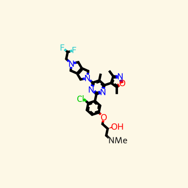 CNC[C@@H](O)COc1ccc(Cl)c(-c2nc(-c3c(C)noc3C)c(C)c(N3CC4=C(CN(CC(F)F)C4)C3)n2)c1